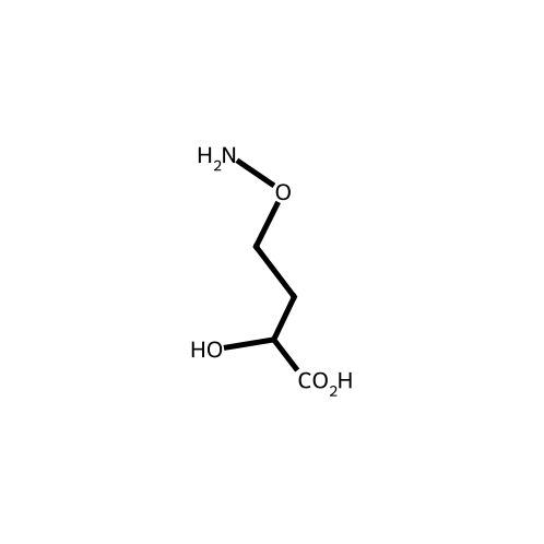 NOCCC(O)C(=O)O